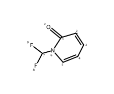 O=c1[c]cccn1C(F)F